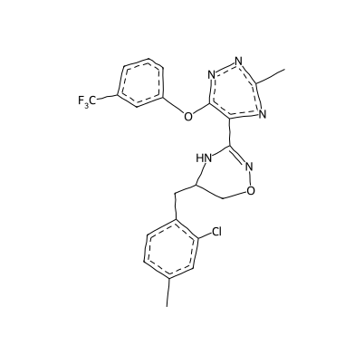 Cc1ccc(CC2CON=C(c3nc(C)nnc3Oc3cccc(C(F)(F)F)c3)N2)c(Cl)c1